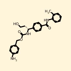 Cc1ccccc1NC(=O)c1ccc([C@@H](CCO)NC(=O)OCc2ccc(N)cc2)cc1